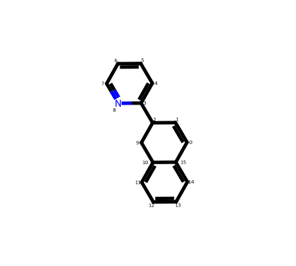 C1=CC(c2ccccn2)Cc2ccccc21